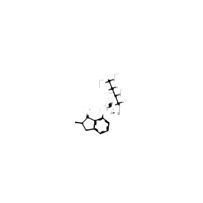 CC1Cc2cccc(OS(=O)(=O)C(F)(F)C(F)(F)C(F)(F)C(F)(F)F)c2C1=O